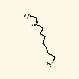 NCCCCCCCNC[SiH3]